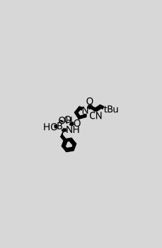 CC(C)(C)/C=C(\C#N)C(=O)N1CC[C@H](OC(=O)N[C@@H](Cc2ccccc2)B(O)O)C1